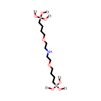 CCO[Si](CCCCOCCNCCOCCCC[Si](OCC)(OCC)OCC)(OCC)OCC